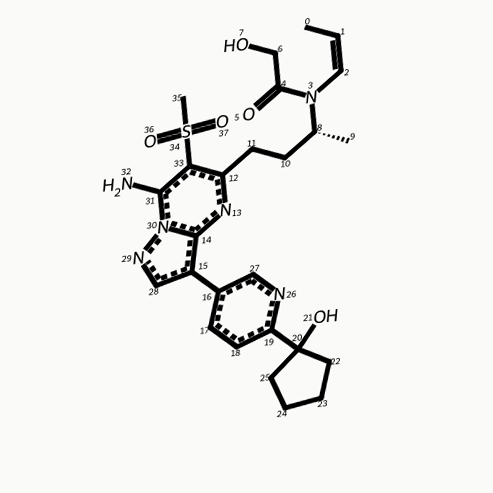 C/C=C\N(C(=O)CO)[C@H](C)CCc1nc2c(-c3ccc(C4(O)CCCC4)nc3)cnn2c(N)c1S(C)(=O)=O